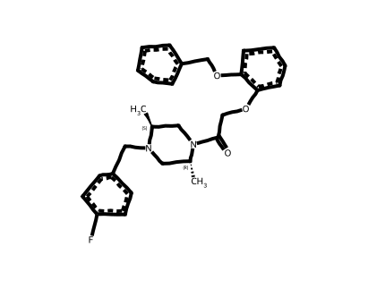 C[C@@H]1CN(Cc2ccc(F)cc2)[C@@H](C)CN1C(=O)COc1ccccc1OCc1ccccc1